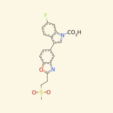 CS(=O)(=O)CCc1nc2cc(-c3cn(C(=O)O)c4cc(F)ccc34)ccc2o1